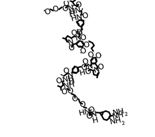 COCCOCCOC(=O)N[C@H](C(=O)N[C@@H](C)C(=O)Nc1ccc(COC(=O)N2c3cc(OCCCCCOc4cc5c(cc4OC)C(=O)N4C=C(C)CC4C(O)N5C(=O)OCc4ccc(NC(=O)[C@H](C)NC(=O)[C@@H](NC(=O)OCCOCCOCCNS(=O)(=O)NCC5C6CC/C(N)=C(/NN)CCC65)C(C)C)cc4)c(OC)cc3C(=O)N3C=C(C)CC3C2O)cc1)C(C)C